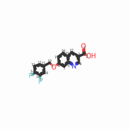 O=C(O)c1cnc2cc(OCc3ccc(F)c(F)c3)ccc2c1